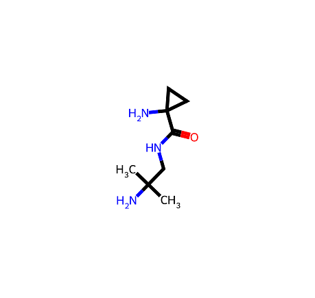 CC(C)(N)CNC(=O)C1(N)CC1